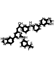 CC(Cc1cc(-c2ccc3nc[nH]c3c2)nc(Nc2cccc(C(F)(F)F)c2)n1)c1cccc(Nc2nccc(-c3cnc4nc[nH]c4c3)n2)c1